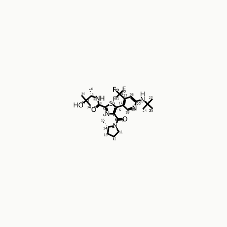 C[C@H](NC(=O)c1nc(C(=O)N2CCC[C@@H]2C)c(-c2cnc(NC(C)(C)C)cc2C(F)(F)F)s1)C(C)(C)O